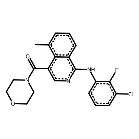 Cc1cccc2c(Nc3cccc(Cl)c3F)ncc(C(=O)N3CCOCC3)c12